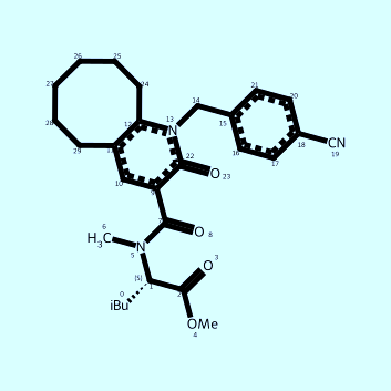 CCC(C)[C@@H](C(=O)OC)N(C)C(=O)c1cc2c(n(Cc3ccc(C#N)cc3)c1=O)CCCCCC2